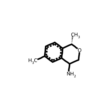 Cc1ccc2c(c1)C(N)CO[C@H]2C